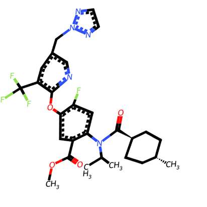 COC(=O)c1cc(Oc2ncc(Cn3nccn3)cc2C(F)(F)F)c(F)cc1N(C(=O)[C@H]1CC[C@H](C)CC1)C(C)C